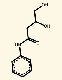 O=C(CC(O)CO)Nc1ccccc1